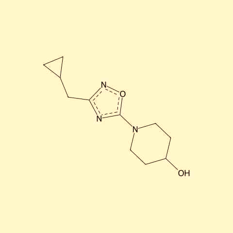 OC1CCN(c2nc(CC3CC3)no2)CC1